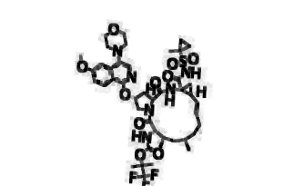 COc1ccc2c(O[C@@H]3C[C@H]4C(=O)N[C@]5(C(=O)NS(=O)(=O)C6(C)CC6)C[C@H]5/C=C/CC[C@@H](C)C[C@@H](C)[C@H](NC(=O)OC(C)(C)C(F)(F)F)C(=O)N4C3)ncc(N3CCOCC3)c2c1